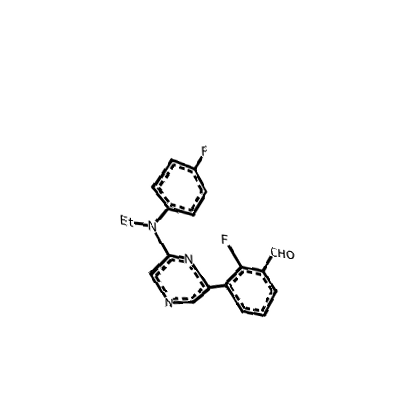 CCN(c1ccc(F)cc1)c1cncc(-c2cccc(C=O)c2F)n1